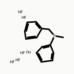 CP(Cc1ccccc1)c1ccccc1.F.F.F.F.F.F